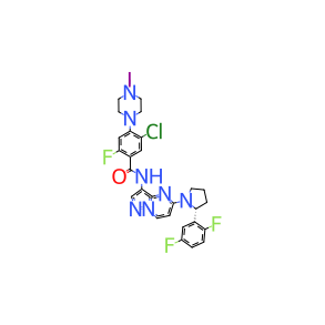 O=C(Nc1cnn2ccc(N3CCC[C@@H]3c3cc(F)ccc3F)nc12)c1cc(Cl)c(N2CCN(I)CC2)cc1F